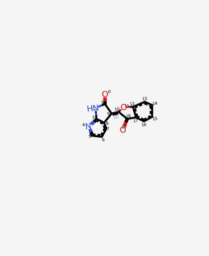 O=C1Nc2ncccc2/C1=C1/Oc2ccccc2C1=O